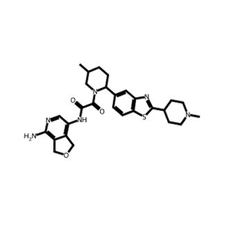 CC1CCC(c2ccc3sc(C4CCN(C)CC4)nc3c2)N(C(=O)C(=O)Nc2cnc(N)c3c2COC3)C1